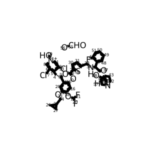 O=C(O[C@@H](Cc1c(Cl)c[n+](O)cc1Cl)c1ccc(OC(F)F)c(OCC2CC2)c1)c1ccc(CNC(C(=O)O[C@H]2CN3CCC2CC3)c2ccccc2F)s1.O=C[O-]